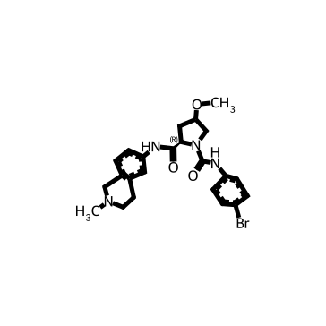 COC1C[C@H](C(=O)Nc2ccc3c(c2)CCN(C)C3)N(C(=O)Nc2ccc(Br)cc2)C1